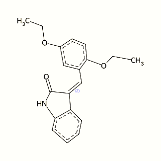 CCOc1ccc(OCC)c(/C=C2\C(=O)Nc3ccccc32)c1